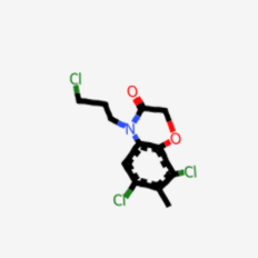 Cc1c(Cl)cc2c(c1Cl)OCC(=O)N2CCCCl